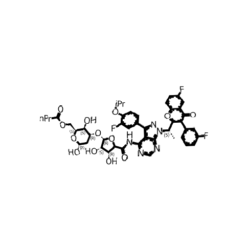 CCCC(=O)OC[C@@H]1O[C@@H](O)C[C@@H](O[C@@H]2OC(C(=O)Nc3ncnc4c3c(-c3ccc(OC(C)C)c(F)c3)nn4[C@@H](C)c3oc4ccc(F)cc4c(=O)c3-c3cccc(F)c3)[C@H](O)[C@@H]2O)[C@@H]1O